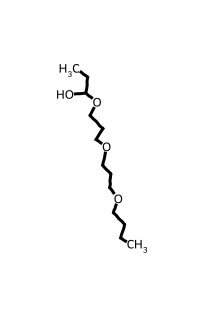 CCCCOCCCOCCCOC(O)CC